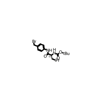 CC(C)C[C@H](NC(=O)OC(C)(C)C)C(=O)Nc1ccc(CBr)cc1